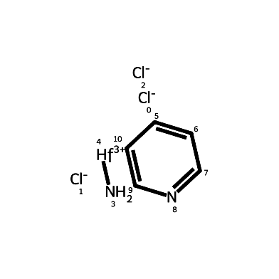 [Cl-].[Cl-].[Cl-].[NH2][Hf+3].c1ccncc1